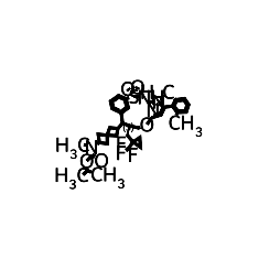 Cc1cccc(C)c1-c1cc2nc(n1)NS(=O)(=O)c1cccc(c1)C(C1CC3(C1)CC(N(C)C(=O)OC(C)C)C3)[C@H](CC1(C(F)(F)F)CC1)CO2